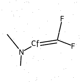 C[N](C)[Cf]=[C](F)F